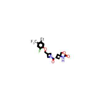 CCc1cc(OCC2CN(C(=O)[C@H]3C[C@]4(COC(=O)N4)C3)C2)c(F)cc1C(F)(F)F